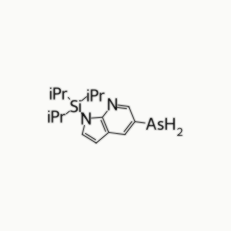 CC(C)[Si](C(C)C)(C(C)C)n1ccc2cc([AsH2])cnc21